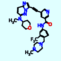 CN1CCN(Cc2ccc(NC(=O)c3cncc(C#Cc4cnc5ccc(N(C)C6CCOCC6)nn45)c3)cc2C(F)(F)F)CC1